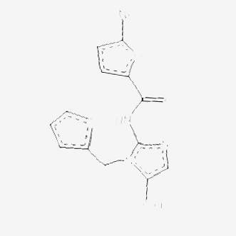 O=C(Nc1ncc(C(=O)O)n1Cc1cccs1)c1ccc([N+](=O)[O-])o1